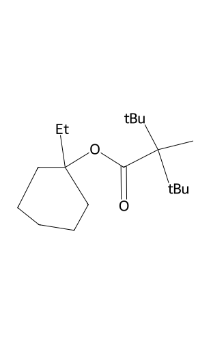 CCC1(OC(=O)C(C)(C(C)(C)C)C(C)(C)C)CCCCC1